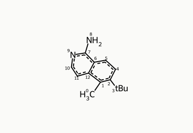 Cc1c(C(C)(C)C)ccc2c(N)nccc12